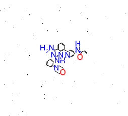 C=CC(=O)Nc1ccnc(-c2cccc3c(N)nc(Nc4ccccc4N4CCOCC4)nc23)c1